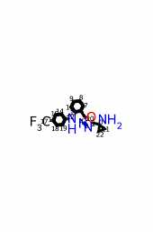 NC1(c2nnc(-c3ccccc3Nc3ccc(C(F)(F)F)cc3)o2)CC1